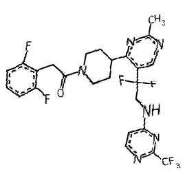 Cc1ncc(C(F)(F)CNc2ccnc(C(F)(F)F)n2)c(C2CCN(C(=O)Cc3c(F)cccc3F)CC2)n1